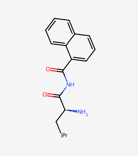 CC(C)C[C@H](N)C(=O)NC(=O)c1cccc2ccccc12